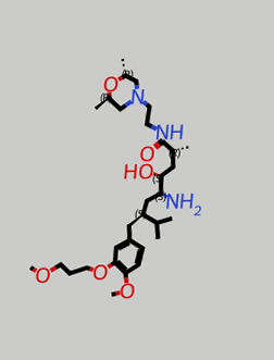 COCCCOc1cc(C[C@@H](C[C@H](N)[C@@H](O)C[C@@H](C)C(=O)NCCN2C[C@@H](C)O[C@H](C)C2)C(C)C)ccc1OC